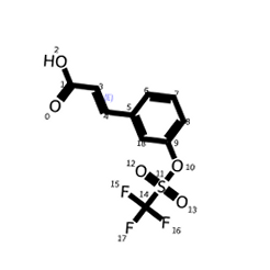 O=C(O)/C=C/c1cccc(OS(=O)(=O)C(F)(F)F)c1